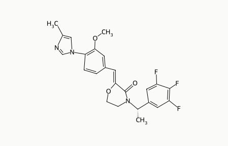 COc1cc(/C=C2\OCCN([C@@H](C)c3cc(F)c(F)c(F)c3)C2=O)ccc1-n1cnc(C)c1